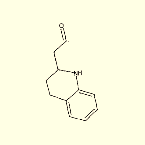 O=[C]CC1CCc2ccccc2N1